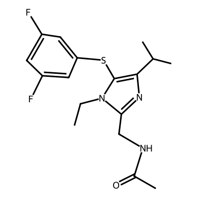 CCn1c(CNC(C)=O)nc(C(C)C)c1Sc1cc(F)cc(F)c1